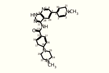 CN1C=CC(c2cnc3[nH]nc(NC(=O)C4=CCC(N5CCN(C)CC5)C=C4)c3c2)=CC1